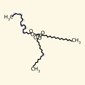 CC/C=C\C/C=C\C/C=C\C/C=C\C/C=C\C/C=C\CCC(=O)OC[C@@H](COC(=O)CCCCCCCCCCCCCCCC)OC(=O)CCCCCCC/C=C\CCCCCCCC